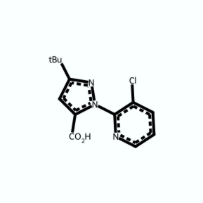 CC(C)(C)c1cc(C(=O)O)n(-c2ncccc2Cl)n1